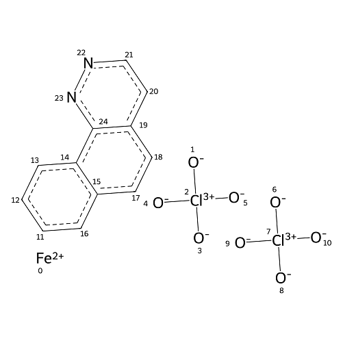 [Fe+2].[O-][Cl+3]([O-])([O-])[O-].[O-][Cl+3]([O-])([O-])[O-].c1ccc2c(c1)ccc1ccnnc12